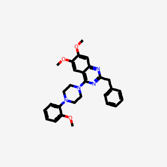 COc1cc2nc(Cc3ccccc3)nc(N3CCN(c4ccccc4OC)CC3)c2cc1OC